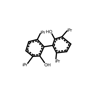 CC(C)c1ccc(C(C)C)c(-c2c(C(C)C)ccc(C(C)C)c2O)c1O